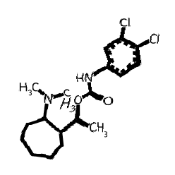 CC(OC(=O)Nc1ccc(Cl)c(Cl)c1)C1CCCCCC1N(C)C